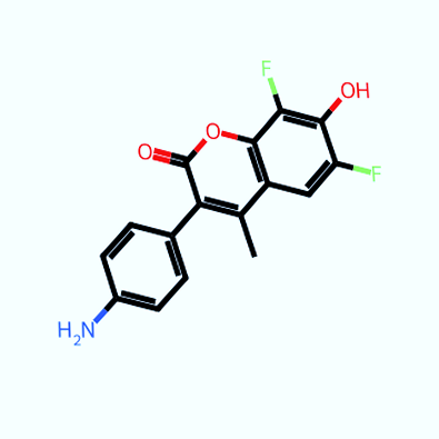 Cc1c(-c2ccc(N)cc2)c(=O)oc2c(F)c(O)c(F)cc12